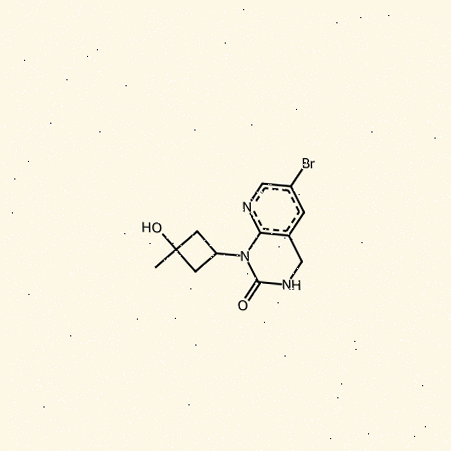 CC1(O)CC(N2C(=O)NCc3cc(Br)cnc32)C1